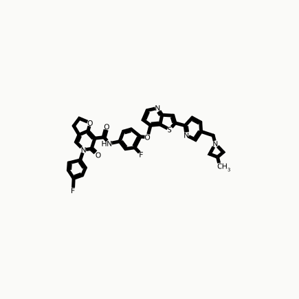 CC1CN(Cc2ccc(-c3cc4nccc(Oc5ccc(NC(=O)c6c7c(cn(-c8ccc(F)cc8)c6=O)CCO7)cc5F)c4s3)nc2)C1